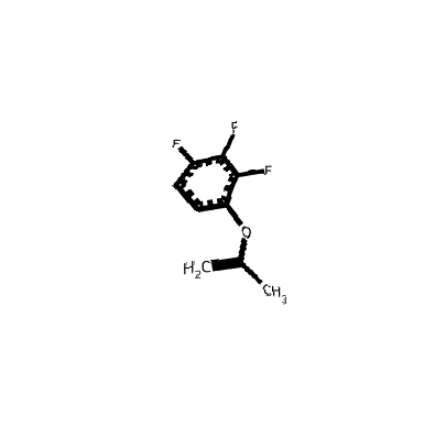 C=C(C)Oc1ccc(F)c(F)c1F